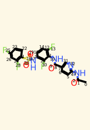 CC(=O)Nc1ccc(C(=O)Nc2c(F)ccc(NS(=O)(=O)c3ccc(F)cc3F)c2F)cn1